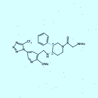 COc1ncc(-n2nnnc2C(F)(F)F)cc1CN[C@H]1CCN(C(=O)CNC(C)=O)C[C@H]1c1ccccc1